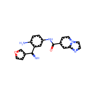 N=C(c1ccoc1)c1cc(NC(=O)c2ccn3ccnc3c2)ccc1N